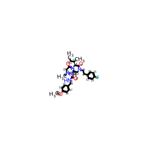 CCC(C)[C@H]1C(=O)N(CCc2ccc(F)cc2)C[C@H]2N1C(=O)CN(C)N2C(=O)NCc1ccc(OC)cc1